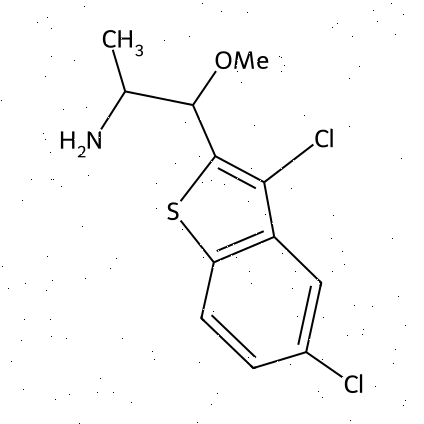 COC(c1sc2ccc(Cl)cc2c1Cl)C(C)N